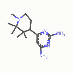 CN1CCC(c2cc(N)nc(N)n2)C(C)(C)C1(C)C